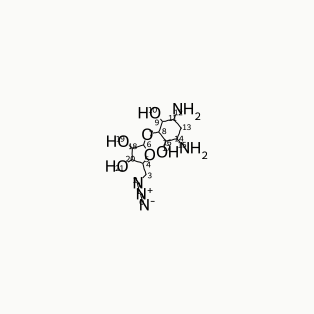 [N-]=[N+]=NCC1OC(OC2C(O)C(N)CC(N)C2O)C(O)C1O